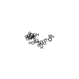 CC(C)(C)c1ccccc1COCc1cn([C@H]2C[C@@H](O)[C@@H](COP(=O)(O)OP(=O)(O)OP(=O)(O)O)O2)c(=O)[nH]c1=O